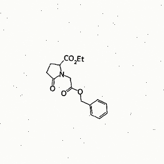 CCOC(=O)C1CCC(=O)N1CC(=O)OCc1ccccc1